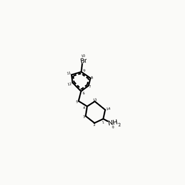 NC1CCC(Cc2ccc(Br)cc2)CC1